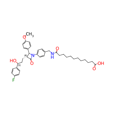 COc1ccc(C2[C@@H](CC[C@H](O)c3ccc(F)cc3)C(=O)N2c2ccc(CNC(=O)CCCCCCCCCCC(=O)O)cc2)cc1